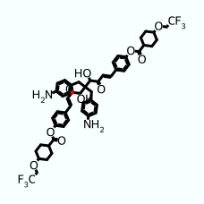 Nc1ccc(CC(Cc2ccc(N)cc2)(C(O)C(=O)/C=C/c2ccc(OC(=O)C3CCC(OCC(F)(F)F)CC3)cc2)C(O)C(=O)/C=C/c2ccc(OC(=O)C3CCC(OCC(F)(F)F)CC3)cc2)cc1